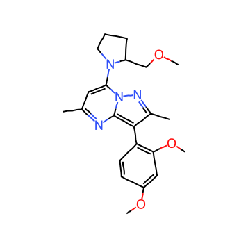 COCC1CCCN1c1cc(C)nc2c(-c3ccc(OC)cc3OC)c(C)nn12